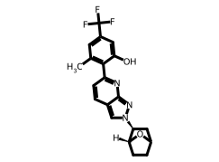 Cc1cc(C(F)(F)F)cc(O)c1-c1ccc2cn([C@H]3CC4CC[C@H]3O4)nc2n1